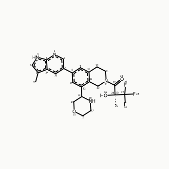 Cc1c[nH]c2ncc(-c3cc4c(c(C5COCCN5)c3)CN(C(=O)[C@](C)(O)C(F)(F)F)CC4)cc12